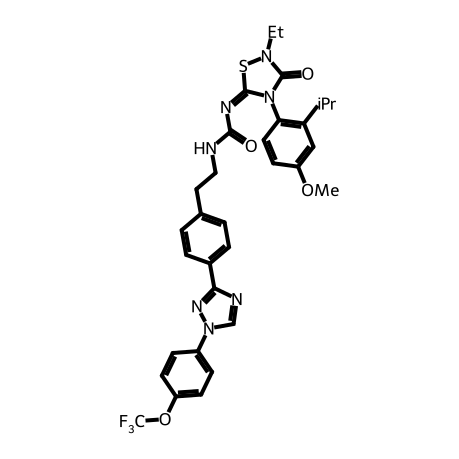 CCn1s/c(=N/C(=O)NCCc2ccc(-c3ncn(-c4ccc(OC(F)(F)F)cc4)n3)cc2)n(-c2ccc(OC)cc2C(C)C)c1=O